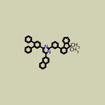 CC1(C)c2ccccc2-c2c(-c3cccc(-c4nc(-c5ccc(-c6ccccc6)c(-c6ccccc6)c5)cc(-c5ccc6ccccc6c5)n4)c3)cccc21